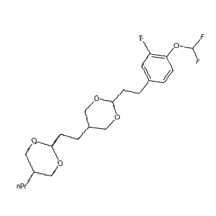 CCCC1COC(CCC2COC(CCc3ccc(OC(F)F)c(F)c3)OC2)OC1